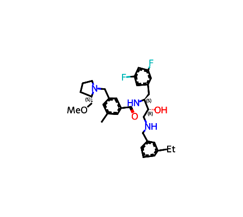 CCc1cccc(CNC[C@@H](O)[C@H](Cc2cc(F)cc(F)c2)NC(=O)c2cc(C)cc(CN3CCC[C@H]3COC)c2)c1